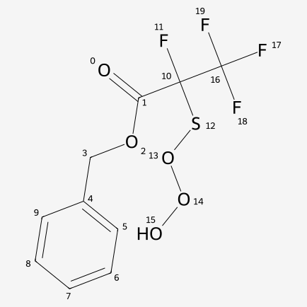 O=C(OCc1ccccc1)C(F)(SOOO)C(F)(F)F